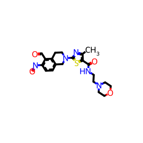 Cc1nc(N2CCc3c(ccc(N=O)c3C=O)C2)sc1C(=O)NCCN1CCOCC1